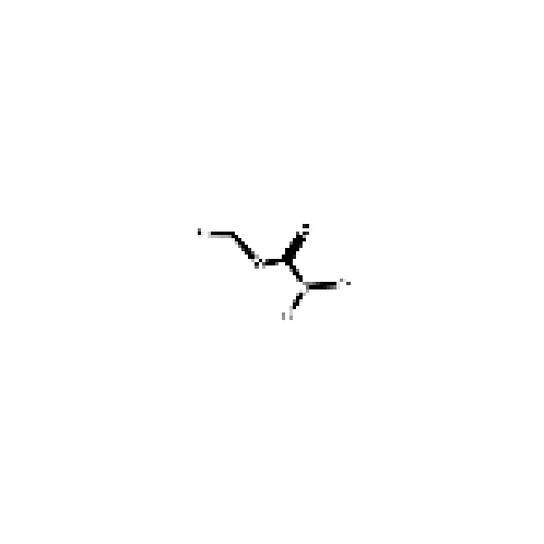 CCC(C)COC(=O)N(CC)CC